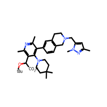 Cc1cc(CN2CCc3cc(-c4c(C)nc(C)c(C(OC(C)(C)C)C(=O)O)c4N4CCC(C)(C)CC4)ccc3C2)n(C)n1